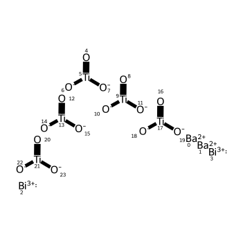 [Ba+2].[Ba+2].[Bi+3].[Bi+3].[O]=[Ti]([O-])[O-].[O]=[Ti]([O-])[O-].[O]=[Ti]([O-])[O-].[O]=[Ti]([O-])[O-].[O]=[Ti]([O-])[O-]